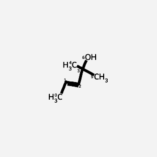 CC=CC(C)(C)O